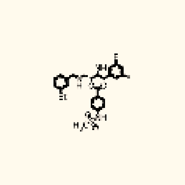 CCc1cccc(CNC[C@@H](OC(=O)c2ccc(NS(C)(=O)=O)cc2)[C@@H](N)Cc2cc(F)cc(F)c2)c1